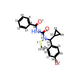 CCCSN(C(=O)NC(=O)c1ccccc1)C(c1ccc(Br)cc1)C1CC1